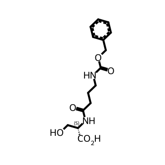 O=C(CCCNC(=O)OCc1ccccc1)N[C@@H](CO)C(=O)O